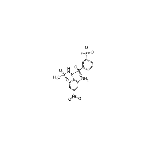 CS(=O)(=O)NN(c1ccc([N+](=O)[O-])cc1N)S(=O)(=O)c1cccc(S(=O)(=O)F)c1